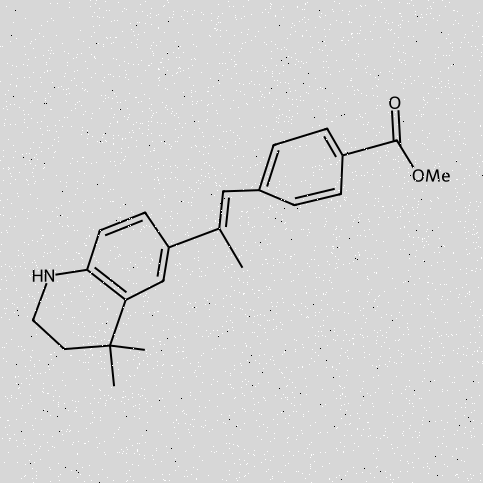 COC(=O)c1ccc(C=C(C)c2ccc3c(c2)C(C)(C)CCN3)cc1